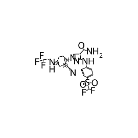 N#C[C@H]1C[C@@H](NCC(F)(F)F)CC[C@@H]1n1cc(C(N)=O)c(Nc2ccc(S(=O)(=O)C(F)F)cc2)n1